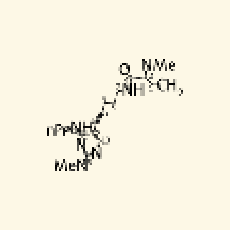 C=C[C@H](NC)C(=O)NCCCC#Cc1cnc(NC)nc1NCCC